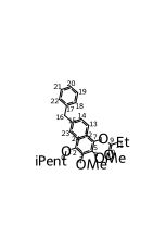 CCCC(C)Oc1c(OC)c(OC)c(OC(=O)CC)c2ccc(Cc3ccccc3)cc12